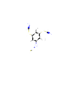 Cc1c(N=C=S)c(C)c(SC#N)c(C)c1SC#N